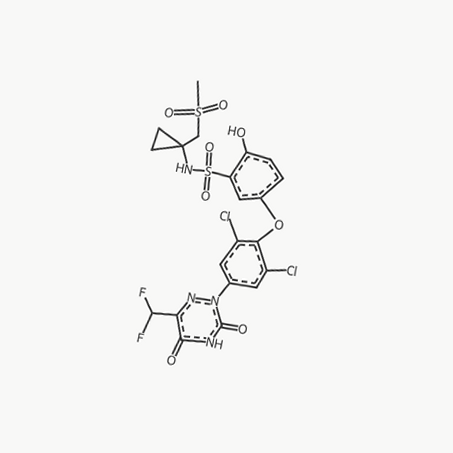 CS(=O)(=O)CC1(NS(=O)(=O)c2cc(Oc3c(Cl)cc(-n4nc(C(F)F)c(=O)[nH]c4=O)cc3Cl)ccc2O)CC1